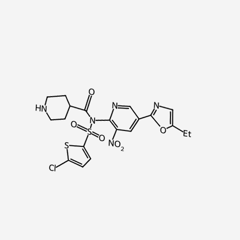 CCc1cnc(-c2cnc(N(C(=O)C3CCNCC3)S(=O)(=O)c3ccc(Cl)s3)c([N+](=O)[O-])c2)o1